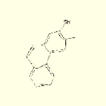 Cc1cc2c(ccc3ccccc32)cc1S